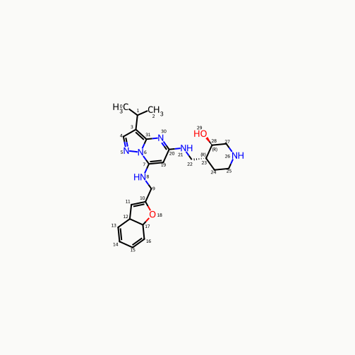 CC(C)c1cnn2c(NCC3=CC4C=CC=CC4O3)cc(NC[C@H]3CCNC[C@@H]3O)nc12